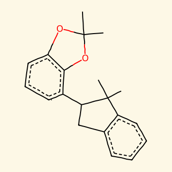 CC1(C)Oc2cc[c]c(C3Cc4ccccc4C3(C)C)c2O1